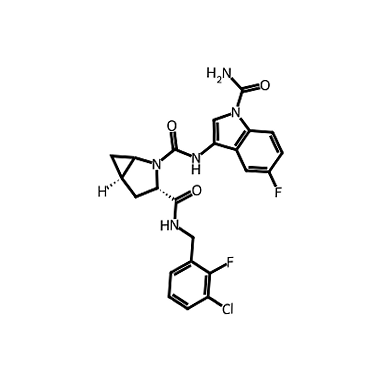 NC(=O)n1cc(NC(=O)N2C3C[C@@H]3C[C@H]2C(=O)NCc2cccc(Cl)c2F)c2cc(F)ccc21